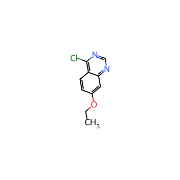 CCOc1ccc2c(Cl)ncnc2c1